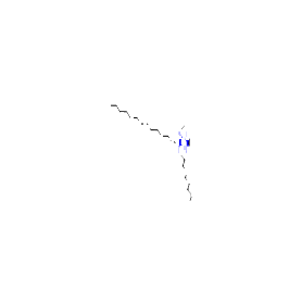 CCCCCCCCCCCCCCc1n(CCCCCCCCC)cc[n+]1CC